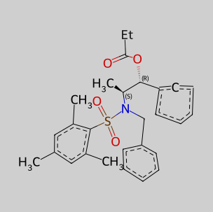 CCC(=O)O[C@H](c1ccccc1)[C@H](C)N(Cc1ccccc1)S(=O)(=O)c1c(C)cc(C)cc1C